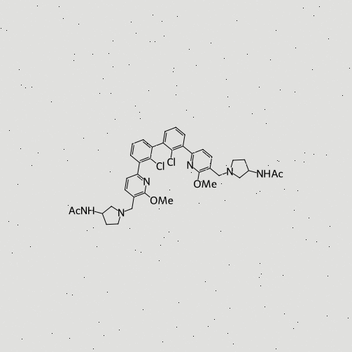 COc1nc(-c2cccc(-c3cccc(-c4ccc(CN5CCC(NC(C)=O)C5)c(OC)n4)c3Cl)c2Cl)ccc1CN1CCC(NC(C)=O)C1